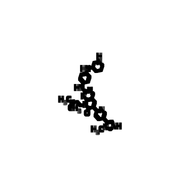 CN(C)CCn1c(=O)c(-c2ccc(C3=CNCN3C)cn2)cc2cnc(Nc3ccc(NC4CCCNC4)cc3)nc21